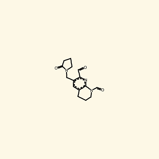 O=Cc1nc2c(cc1CN1CCCC1=O)CCCN2C=O